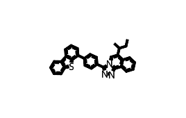 CCC(C)c1cn2c(-c3ccc(-c4cccc5c4sc4ccccc45)cc3)nnc2c2ccccc12